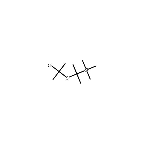 CC(C)(Cl)SC(C)(C)[Si](C)(C)C